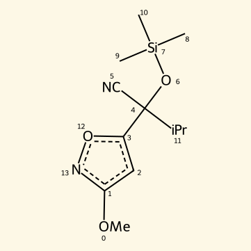 COc1cc(C(C#N)(O[Si](C)(C)C)C(C)C)on1